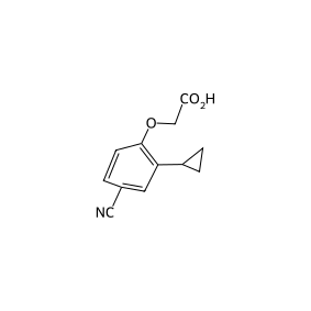 N#Cc1ccc(OCC(=O)O)c(C2CC2)c1